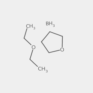 B.C1CCOC1.CCOCC